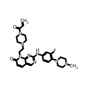 C=CC(=O)N1CCN(CCn2c(=O)ccc3cnc(Nc4ccc(N5CCN(C)CC5)c(F)c4)nc32)CC1